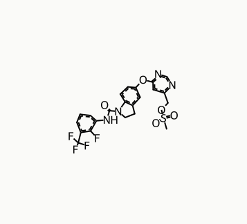 CS(=O)(=O)OCc1cc(Oc2ccc3c(c2)CCN3C(=O)Nc2cccc(C(F)(F)F)c2F)ncn1